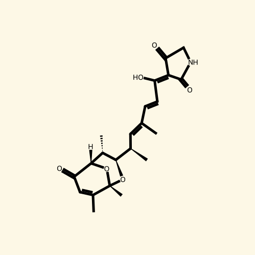 CC1=CC(=O)[C@H]2O[C@]1(C)O[C@H]([C@H](C)/C=C(C)/C=C/C(O)=C1/C(=O)CNC1=O)[C@H]2C